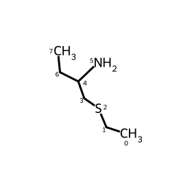 CCSCC(N)CC